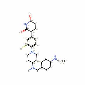 CN(CC1CCC(NC(=O)O)CC1)C1CCN(c2ccc(C3CCC(=O)NC3=O)cc2F)CC1